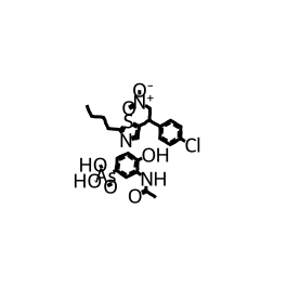 CC(=O)Nc1cc([As](=O)(O)O)ccc1O.CCCCc1ncc(C(C[N+](=O)[O-])c2ccc(Cl)cc2)s1